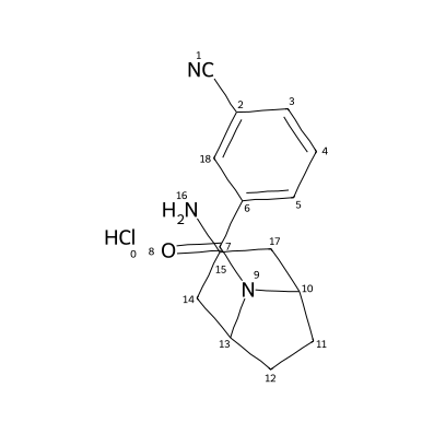 Cl.N#Cc1cccc(C(=O)N2C3CCC2CC(N)C3)c1